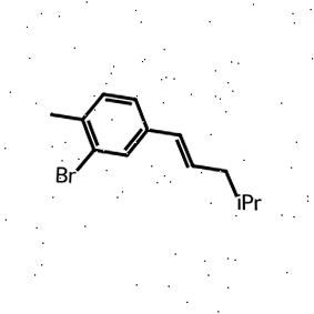 Cc1ccc(/C=C/CC(C)C)cc1Br